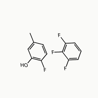 Cc1ccc(F)c(O)c1.Fc1cccc(F)c1F